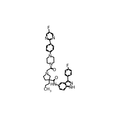 CCCC1(C(=O)Nc2ccc3[nH]nc(-c4ccc(F)cc4)c3c2)CCN(CC(=O)N2CCN(c3ccc(-c4ncc(F)cn4)cc3)CC2)C1